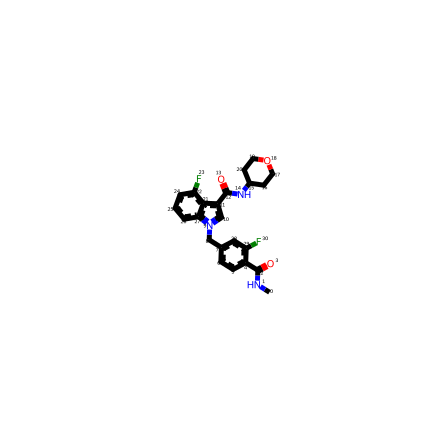 CNC(=O)c1ccc(Cn2cc(C(=O)NC3CCOCC3)c3c(F)cccc32)cc1F